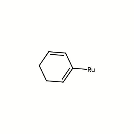 [Ru][C]1=CCCC=C1